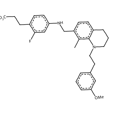 COc1cccc(CCN2CCCc3ccc(CNc4ccc(CCC(=O)O)c(F)c4)c(C)c32)c1